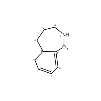 C1=CCC2CCCNOC2=C1